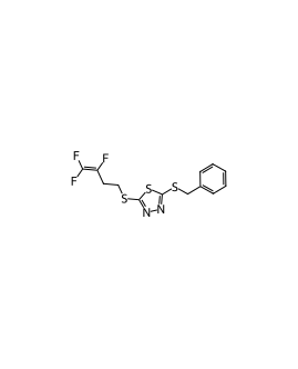 FC(F)=C(F)CCSc1nnc(SCc2ccccc2)s1